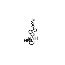 CC1(F)CC2(CC(C(=O)c3cccc4cc(Nc5n[nH]c6cccnc56)ccc34)C2)C1